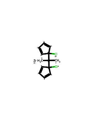 CC(C)(C1(Cl)C=CC=C1)C1(Cl)C=CC=C1.[Zr]